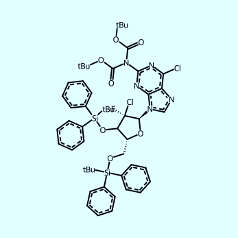 CC(C)(C)OC(=O)N(C(=O)OC(C)(C)C)c1nc(Cl)c2ncn([C@H]3O[C@H](CO[Si](c4ccccc4)(c4ccccc4)C(C)(C)C)C(O[Si](c4ccccc4)(c4ccccc4)C(C)(C)C)[C@@]3(F)Cl)c2n1